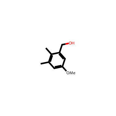 COc1cc(C)c(C)c(CO)c1